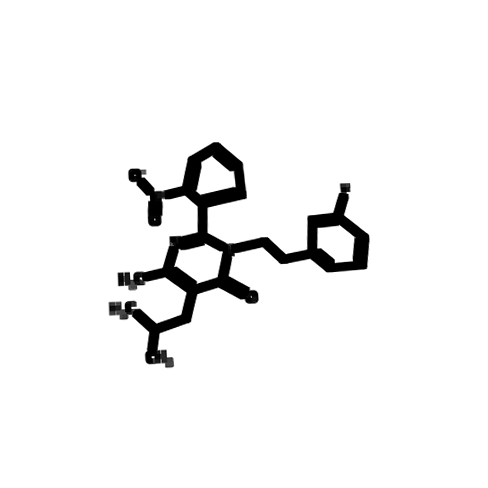 Cc1nc(-c2ccccc2[N+](=O)[O-])n(CCc2cccc(F)c2)c(=O)c1CC(C)C